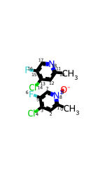 Cc1cc(Cl)c(F)c[n+]1[O-].Cc1cc(Cl)c(F)cn1